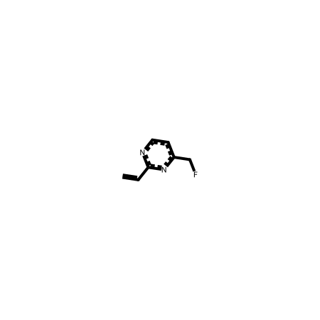 C=Cc1nccc(CF)n1